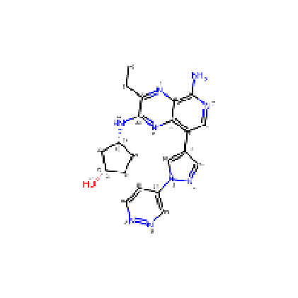 CCc1nc2c(N)ncc(-c3cnn(-c4ccnnc4)c3)c2nc1N[C@@H]1CC[C@H](O)C1